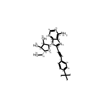 CC(C)(C)c1ccc(C#Cc2nc3c(N)ncnc3n2[C@@H]2O[C@H](CO)C(O)C2O)cc1